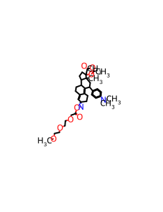 COCCOCCOCC(=O)O/N=C1\C=C2CCC3C(=C2CC1)C(c1ccc(N(C)C)cc1)CC1(C)C3CCC1(OC(C)=O)C(C)=O